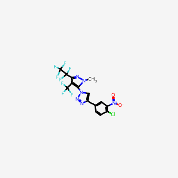 Cn1nc(C(F)(F)C(F)(F)F)c(C(F)(F)F)c1-n1cc(-c2ccc(Cl)c([N+](=O)[O-])c2)nn1